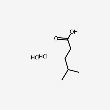 CC(C)CCC(=O)O.Cl.Cl